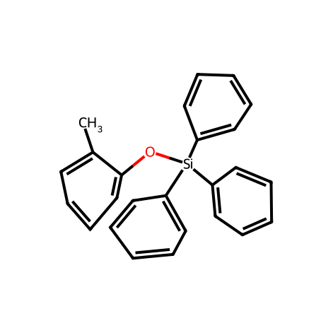 Cc1ccccc1O[Si](c1ccccc1)(c1ccccc1)c1ccccc1